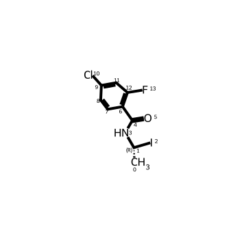 C[C@@H](I)NC(=O)c1ccc(Cl)cc1F